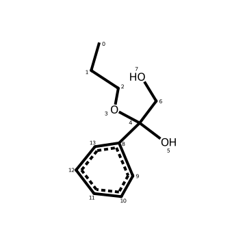 CCCOC(O)(CO)c1ccccc1